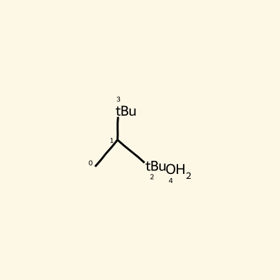 CC(C(C)(C)C)C(C)(C)C.O